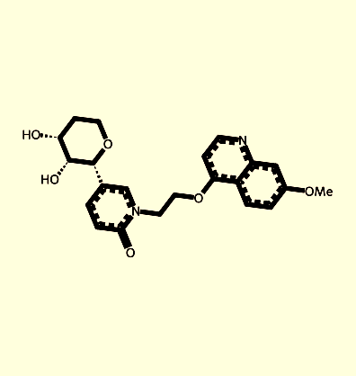 COc1ccc2c(OCCn3cc([C@H]4OCC[C@@H](O)[C@H]4O)ccc3=O)ccnc2c1